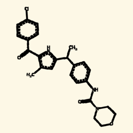 Cc1cc(C(C)c2ccc(NC(=O)N3CCOCC3)cc2)[nH]c1C(=O)c1ccc(Cl)cc1